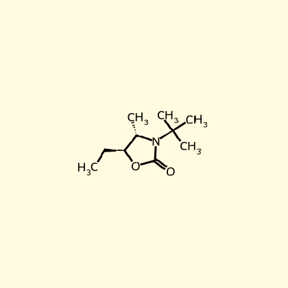 CC[C@@H]1OC(=O)N(C(C)(C)C)[C@H]1C